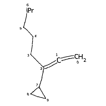 C=C=C(CCCC(C)C)[C]1CC1